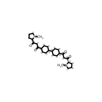 CN1CCCC1C(=O)CC(=O)C1CCC(C2CCC(C(=O)CC(=O)[C@H]3CCCN3C)CC2)CC1